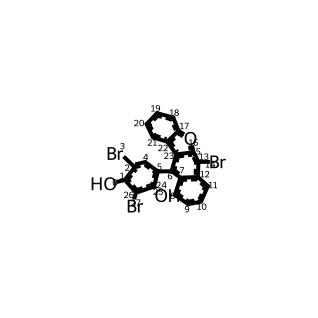 Oc1c(Br)cc(-c2c3ccccc3c(Br)c3oc4ccccc4c23)c(O)c1Br